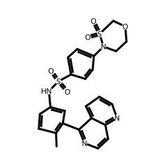 Cc1ccc(NS(=O)(=O)c2ccc(N3CCOCS3(=O)=O)cc2)cc1-c1nccc2ncccc12